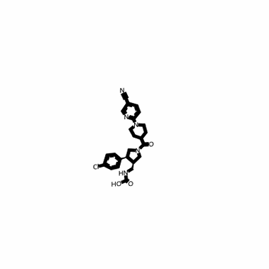 N#Cc1ccc(N2CCC(C(=O)N3C[C@@H](CNC(=O)O)[C@@H](c4ccc(Cl)cc4)C3)CC2)nc1